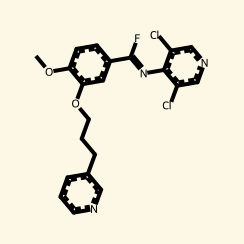 COc1ccc(C(F)=Nc2c(Cl)cncc2Cl)cc1OCCCc1cccnc1